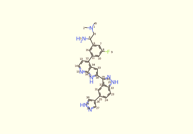 CN(C)CC(N)c1cc(F)cc(-c2ccnc3[nH]c(-c4n[nH]c5ccc(-c6cn[nH]c6)cc45)cc23)c1